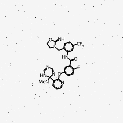 CNC1(c2cccnc2Oc2ccc(F)c(C(=O)Nc3cc(C(F)(F)F)ccc3CN3CCOC3=N)c2)N=CN=CN1